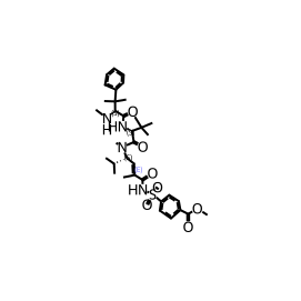 CN[C@H](C(=O)N[C@H](C(=O)N(C)[C@H](/C=C(\C)C(=O)NS(=O)(=O)c1ccc(C(=O)OC)cc1)C(C)C)C(C)(C)C)C(C)(C)c1ccccc1